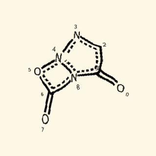 O=c1cnn2oc(=O)n12